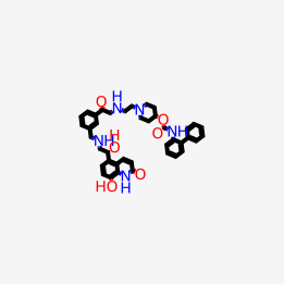 O=C(Nc1ccccc1-c1ccccc1)OC1CCN(CCNCC(=O)c2cccc(CNC[C@H](O)c3ccc(O)c4[nH]c(=O)ccc34)c2)CC1